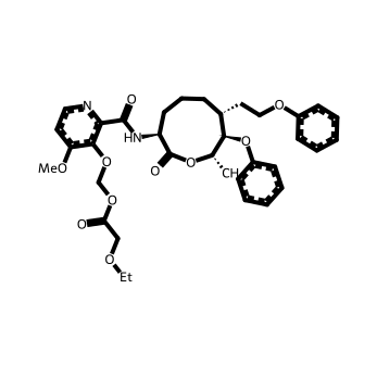 CCOCC(=O)OCOc1c(OC)ccnc1C(=O)N[C@H]1CCC[C@H](CCOc2ccccc2)[C@@H](Oc2ccccc2)[C@H](C)OC1=O